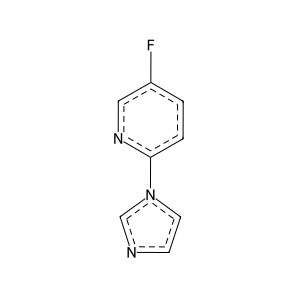 Fc1ccc(-n2ccnc2)nc1